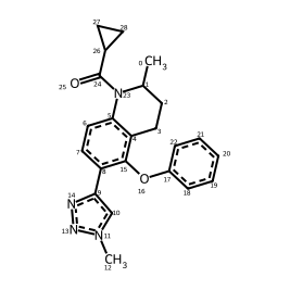 CC1CCc2c(ccc(-c3cn(C)nn3)c2Oc2ccccc2)N1C(=O)C1CC1